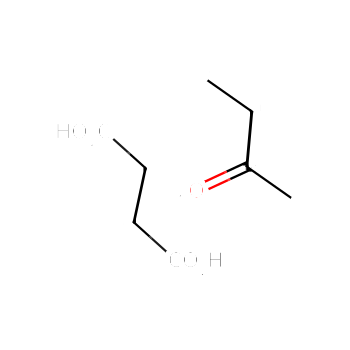 CCC(C)=O.O=C(O)CCC(=O)O